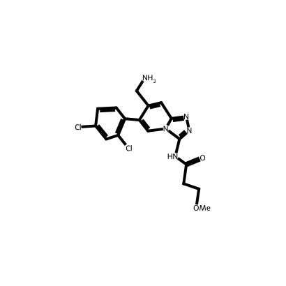 COCCC(=O)Nc1nnc2cc(CN)c(-c3ccc(Cl)cc3Cl)cn12